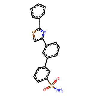 NS(=O)(=O)c1cccc(-c2cccc(-c3csc(-c4ccccc4)n3)c2)c1